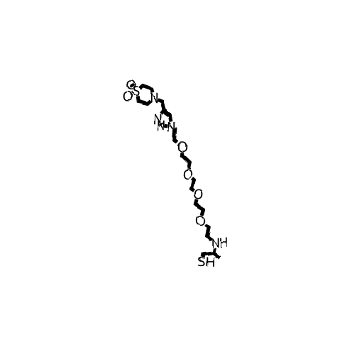 CC(CS)NCCOCCOCCOCCOCCn1cc(CN2CCS(=O)(=O)CC2)nn1